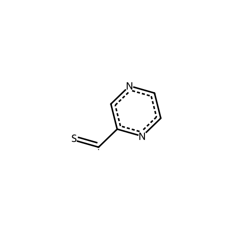 S=[C]c1cnccn1